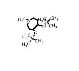 CN1CCC(O[Si](C)(C)C)=C(O[Si](C)(C)C)CC1